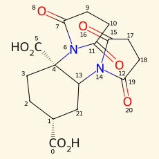 O=C(O)[C@@H]1CC[C@@](C(=O)O)(N2C(=O)CCC2=O)C(N2C(=O)CCC2=O)C1